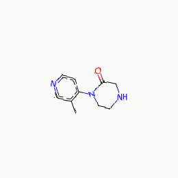 Cc1[c]nccc1N1CCNCC1=O